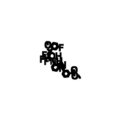 CCOC(=O)c1cccc(-n2ncc3c(NCC(O)(CC(C)(C)c4cc(F)ccc4OC)C(F)(F)F)cccc32)c1